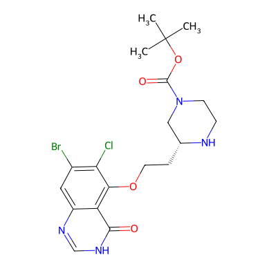 CC(C)(C)OC(=O)N1CCN[C@H](CCOc2c(Cl)c(Br)cc3nc[nH]c(=O)c23)C1